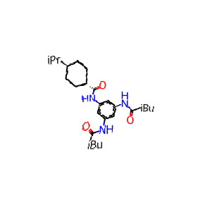 CCC(C)C(=O)Nc1cc(NC(=O)C(C)CC)cc(NC(=O)[C@H]2CC[C@H](C(C)C)CC2)c1